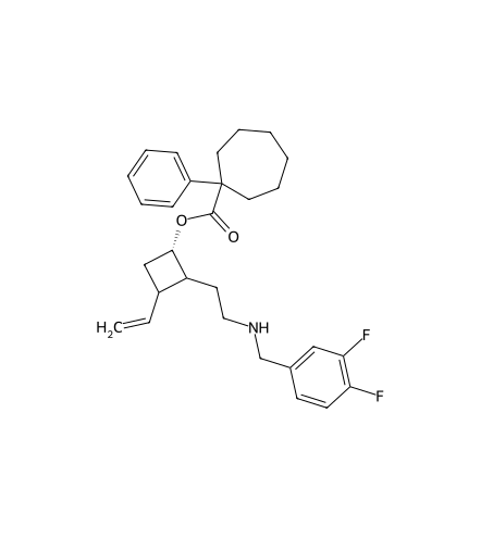 C=CC1C[C@H](OC(=O)C2(c3ccccc3)CCCCCC2)C1CCNCc1ccc(F)c(F)c1